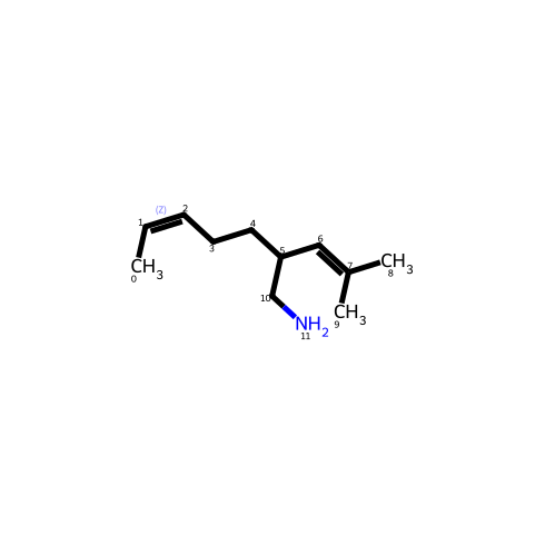 C/C=C\CCC(C=C(C)C)CN